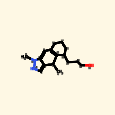 C[C@H]1C2=CNN(C)C2=CC2=C1C(CCCO)CCC2